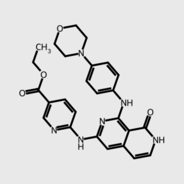 CCOC(=O)c1ccc(Nc2cc3cc[nH]c(=O)c3c(Nc3ccc(N4CCOCC4)cc3)n2)nc1